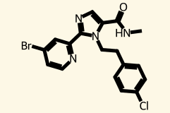 CNC(=O)c1cnc(-c2cc(Br)ccn2)n1CCc1ccc(Cl)cc1